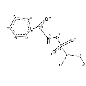 CCC(C)S(=O)(=O)ONC(=O)c1ccccn1